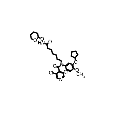 COc1ccc(N(CCCCCCC(=O)NOC2CCCCO2)C(=O)c2c(Cl)cncc2Cl)cc1OC1CCCC1